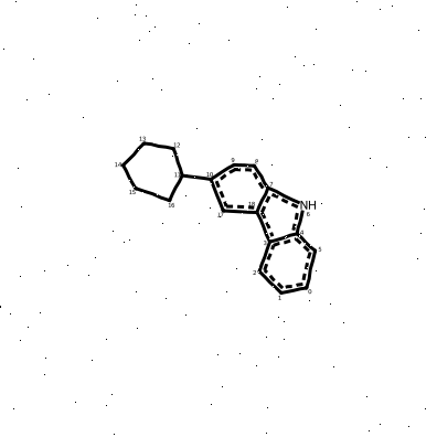 c1ccc2c(c1)[nH]c1ccc(C3CCCCC3)cc12